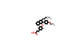 CCCCc1cc2ccccc2c(Oc2ccc(C=CC(=O)O)cc2)c1-c1ccc(OC)cc1